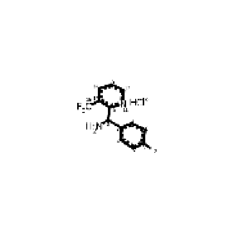 Cl.NC(c1ccc(I)cc1)c1ncccc1C(F)(F)F